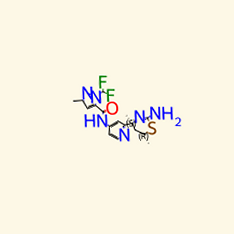 Cc1cc(C(=O)Nc2ccnc([C@]3(C)C[C@@H](C)SC(N)=N3)c2)n(C(F)F)n1